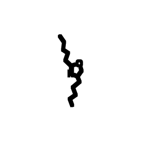 CCCCCC1=NC(CCCCC)CO1